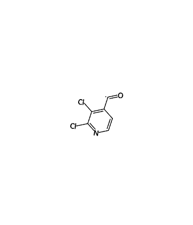 O=[C]c1ccnc(Cl)c1Cl